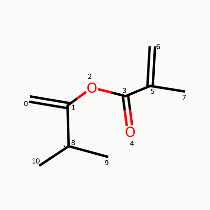 C=C(OC(=O)C(=C)C)[C](C)C